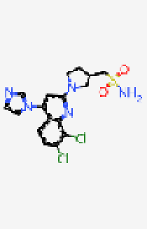 NS(=O)(=O)CC1CCN(c2cc(-n3ccnc3)c3ccc(Cl)c(Cl)c3n2)C1